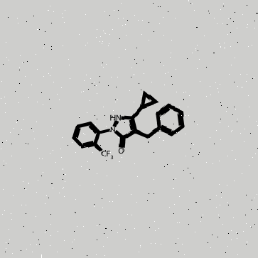 O=c1c(Cc2ccccc2)c(C2CC2)[nH]n1-c1ccccc1C(F)(F)F